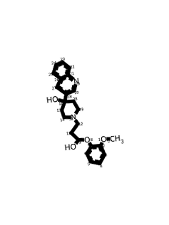 COc1ccccc1OC(O)CCN1CCC(O)(c2cnc3ccccc3c2)CC1